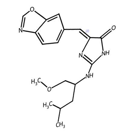 COCC(CC(C)C)NC1=N/C(=C\c2ccc3ncoc3c2)C(=O)N1